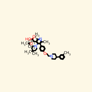 Cc1cccc(C2CCN(CCOc3ccc(-c4c(C)nc(C)c([C@H](OC(C)(C)C)C(=O)O)c4N4CCC(C)(C)CC4)cc3)CC2)c1